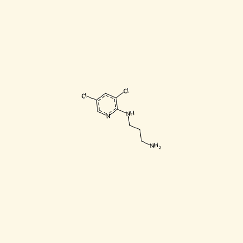 NCCCNc1ncc(Cl)cc1Cl